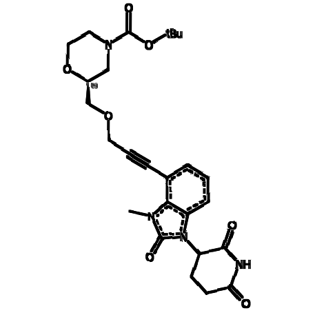 Cn1c(=O)n(C2CCC(=O)NC2=O)c2cccc(C#CCOC[C@@H]3CN(C(=O)OC(C)(C)C)CCO3)c21